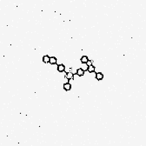 c1ccc(C2=NC(c3ccc(-c4cc(-c5ccccc5)cc5oc6ccccc6c45)cc3)NC(c3ccc(-c4ccc5ccccc5c4)cc3)=N2)cc1